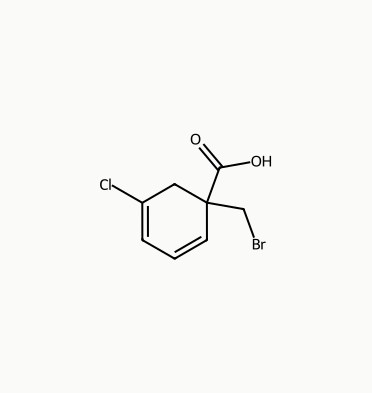 O=C(O)C1(CBr)C=CC=C(Cl)C1